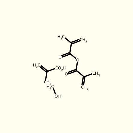 C=C(C)C(=O)O.C=C(C)C(=O)OC(=O)C(=C)C.CO